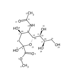 COC(=O)C1(O)C[C@@H](O)C(NC(C)=O)[C@H]([C@@H](O)[C@H](O)CO)O1